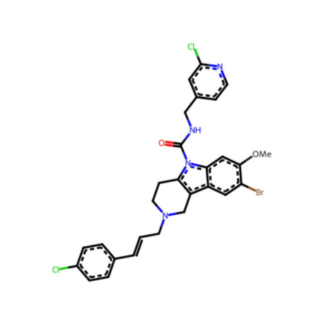 COc1cc2c(cc1Br)c1c(n2C(=O)NCc2ccnc(Cl)c2)CCN(CC=Cc2ccc(Cl)cc2)C1